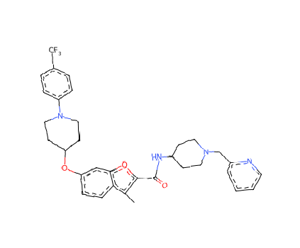 Cc1c(C(=O)NC2CCN(Cc3ccccn3)CC2)oc2cc(OC3CCN(c4ccc(C(F)(F)F)cc4)CC3)ccc12